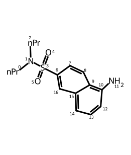 CCCN(CCC)S(=O)(=O)c1ccc2c(N)cccc2c1